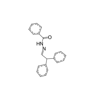 O=C(NN=CC(c1ccccc1)c1ccccc1)c1ccccc1